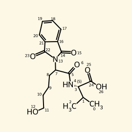 CC(C)[C@H](NC(=O)C(CCCCO)N1C(=O)c2ccccc2C1=O)C(=O)O